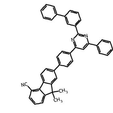 CC1(C)c2cc(-c3ccc(-c4cc(-c5ccccc5)nc(-c5cccc(-c6ccccc6)c5)n4)cc3)ccc2-c2c(C#N)cccc21